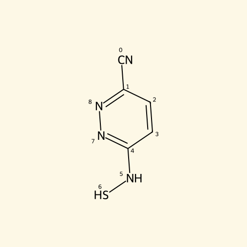 N#Cc1ccc(NS)nn1